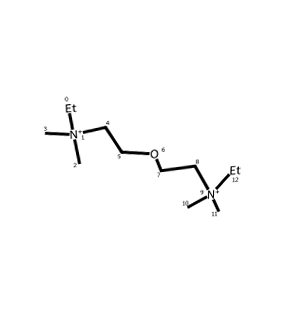 CC[N+](C)(C)CCOCC[N+](C)(C)CC